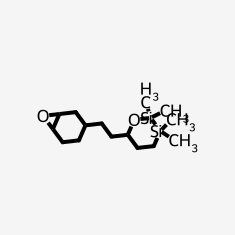 C[Si]1(C)CCC(CCC2CCC3OC3C2)O[Si]1(C)C